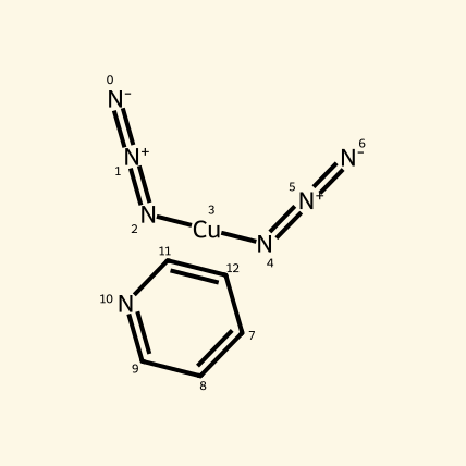 [N-]=[N+]=[N][Cu][N]=[N+]=[N-].c1ccncc1